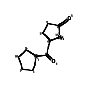 O=C1CCC(C(=O)N2CCCC2)N1